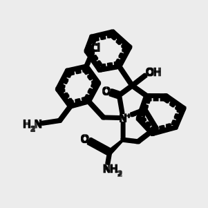 NCc1ccc(Cl)cc1C[N+]1(C(=O)C(O)(c2ccccc2)c2ccccc2)CCC[C@H]1C(N)=O